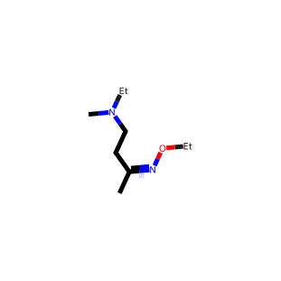 CCO/N=C(/C)CCN(C)CC